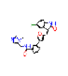 Cn1cncc1CNC(=O)c1cccc(-c2coc(/C=C3/C(=O)Nc4ccc(F)cc43)c2)c1